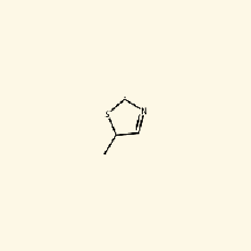 CC1C=N[CH]S1